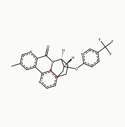 Cc1cnc(C(=O)N2CC3CC[C@H]2[C@H](Oc2ccc(C(F)(F)F)cn2)C3)c(-c2ncccn2)c1